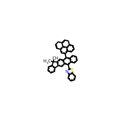 CC1(C)c2ccccc2-c2cc3c(-c4nc5ccccc5s4)c4ccccc4c(-c4cc5c6c7c(cccc47)CC=C6CC=C5)c3cc21